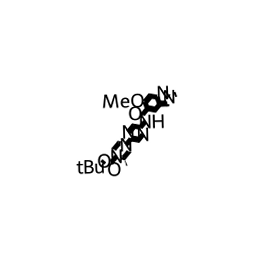 COc1cc2nn(C)cc2cc1C(=O)Nc1cnc(N2CCN(C(=O)OC(C)(C)C)[C@@H](C)C2)cn1